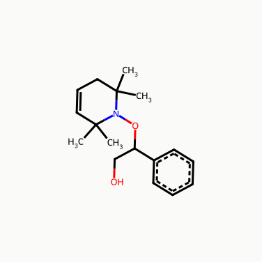 CC1(C)C=CCC(C)(C)N1OC(CO)c1ccccc1